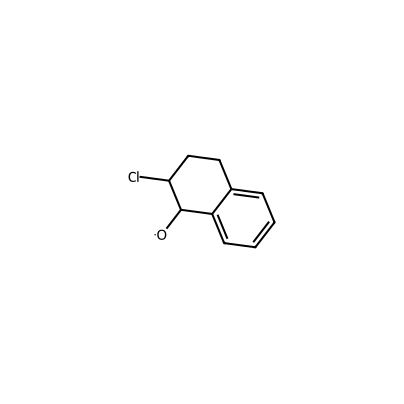 [O]C1c2ccccc2CCC1Cl